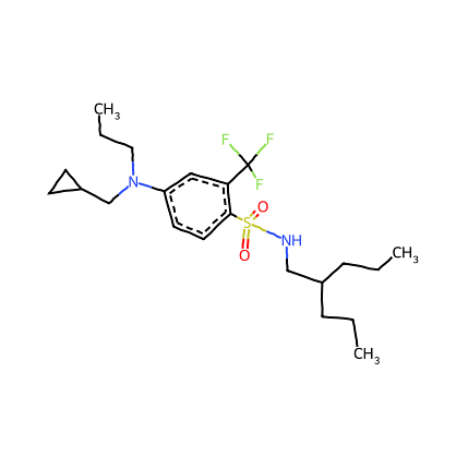 CCCC(CCC)CNS(=O)(=O)c1ccc(N(CCC)CC2CC2)cc1C(F)(F)F